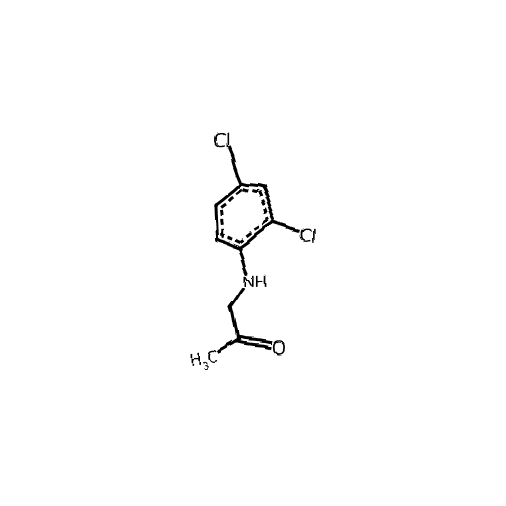 CC(=O)CNc1ccc(Cl)cc1Cl